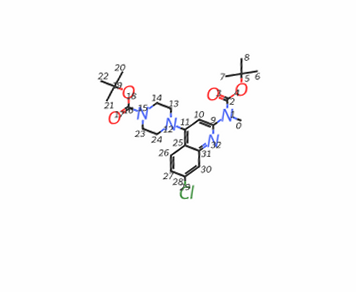 CN(C(=O)OC(C)(C)C)c1cc(N2CCN(C(=O)OC(C)(C)C)CC2)c2ccc(Cl)cc2n1